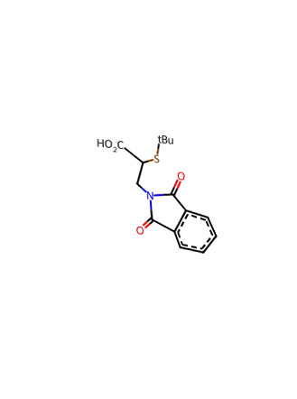 CC(C)(C)SC(CN1C(=O)c2ccccc2C1=O)C(=O)O